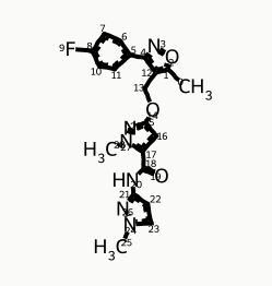 Cc1onc(-c2ccc(F)cc2)c1COc1cc(C(=O)Nc2ccn(C)n2)n(C)n1